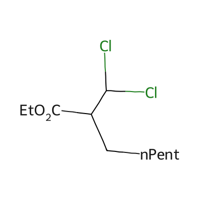 CCCCCCC(C(=O)OCC)C(Cl)Cl